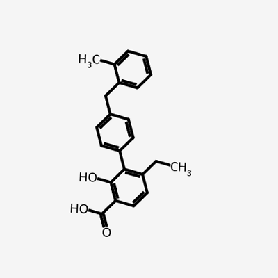 CCc1ccc(C(=O)O)c(O)c1-c1ccc(Cc2ccccc2C)cc1